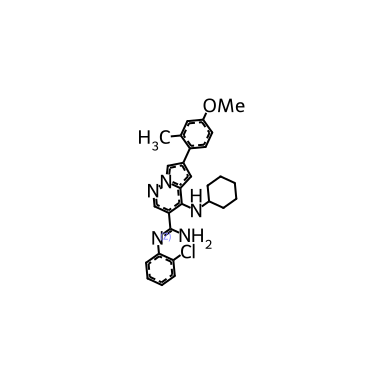 COc1ccc(-c2cc3c(NC4CCCCC4)c(/C(N)=N/c4ccccc4Cl)cnn3c2)c(C)c1